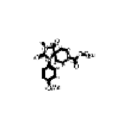 COc1ccc(N2C(=O)N(C)C(=O)C23CCN(C(=O)OC(C)(C)C)CC3)cc1